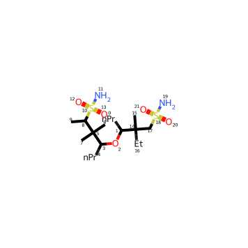 CCCC(OC(CCC)C(C)(C)C(C)S(N)(=O)=O)C(C)(CC)CS(N)(=O)=O